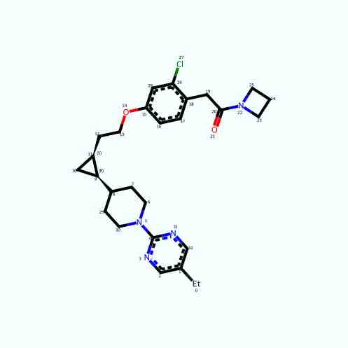 CCc1cnc(N2CCC([C@H]3C[C@H]3CCOc3ccc(CC(=O)N4CCC4)c(Cl)c3)CC2)nc1